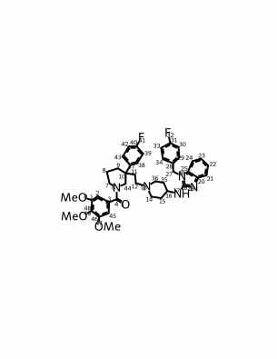 COc1cc(C(=O)N2CCCC(CCN3CCC(Nc4nc5ccccc5n4Cc4ccc(F)cc4)CC3)(c3ccc(F)cc3)C2)cc(OC)c1OC